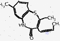 C/C=C\C1=C(C)Sc2ccc(C)cc2NC1=O